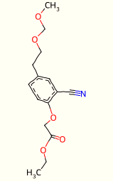 CCOC(=O)COc1ccc(CCOCOC)cc1C#N